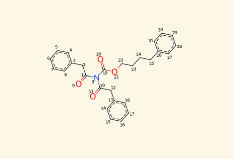 O=C(Cc1ccccc1)N(C(=O)Cc1ccccc1)C(=O)OCCCCc1ccccc1